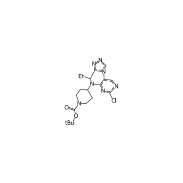 CCC1c2nncn2-c2cnc(Cl)nc2N1C1CCN(C(=O)OC(C)(C)C)CC1